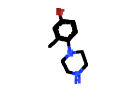 Cc1cc(Br)ccc1N1CCNCC1